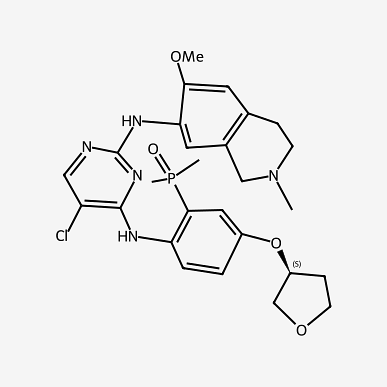 COc1cc2c(cc1Nc1ncc(Cl)c(Nc3ccc(O[C@H]4CCOC4)cc3P(C)(C)=O)n1)CN(C)CC2